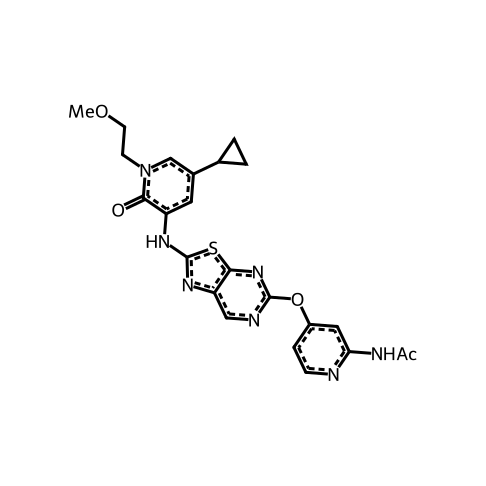 COCCn1cc(C2CC2)cc(Nc2nc3cnc(Oc4ccnc(NC(C)=O)c4)nc3s2)c1=O